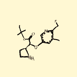 Cc1cc(OC(C(=O)OC(C)(C)C)[C@@H]2CCN2)cnc1CF